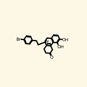 O=C1CCC2C3Cc4ccc(O)c(O)c4C2(CCN3CCc2ccc(Br)cc2)C1